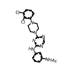 CC(=O)Nc1cccc(Nc2ncnc(N3CCN(c4cccc(Cl)c4Cl)CC3)n2)c1